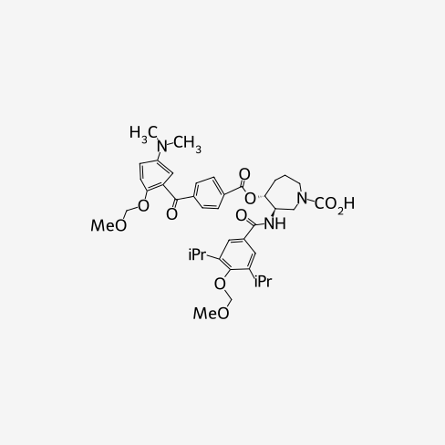 COCOc1ccc(N(C)C)cc1C(=O)c1ccc(C(=O)O[C@@H]2CCCN(C(=O)O)C[C@H]2NC(=O)c2cc(C(C)C)c(OCOC)c(C(C)C)c2)cc1